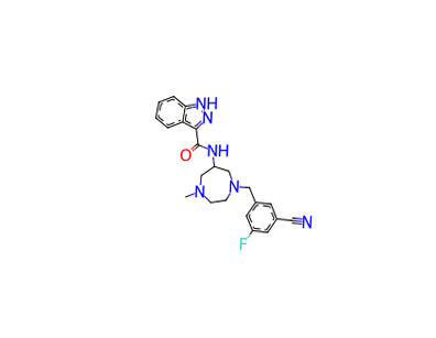 CN1CCN(Cc2cc(F)cc(C#N)c2)CC(NC(=O)c2n[nH]c3ccccc23)C1